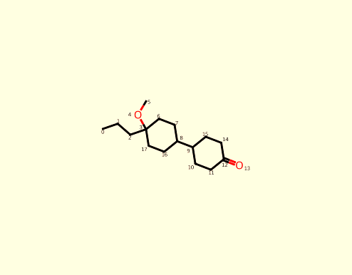 CCCC1(OC)CCC(C2CCC(=O)CC2)CC1